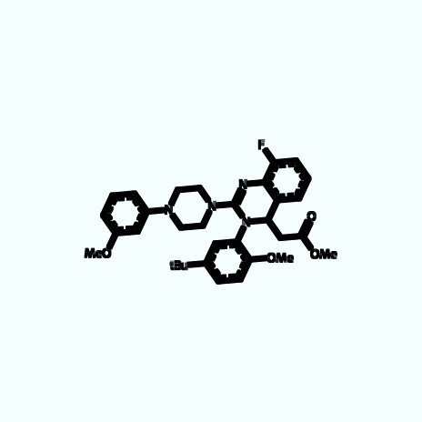 COC(=O)CC1c2cccc(F)c2N=C(N2CCN(c3cccc(OC)c3)CC2)N1c1cc(C(C)(C)C)ccc1OC